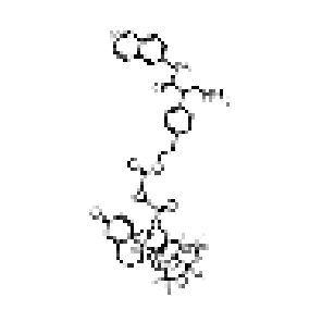 C[C@@H]1C[C@H]2OC(C)(C)O[C@@]2(C(=O)COC(=O)C2CC2C(=O)OCCc2ccc(C(CN)C(=O)Nc3ccc4cnccc4c3)cc2)[C@@]1(C)C[C@H](O)[C@@]1(F)CCCC2=CC(=O)C=C[C@@]21C